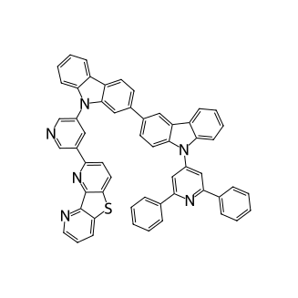 c1ccc(-c2cc(-n3c4ccccc4c4cc(-c5ccc6c7ccccc7n(-c7cncc(-c8ccc9sc%10cccnc%10c9n8)c7)c6c5)ccc43)cc(-c3ccccc3)n2)cc1